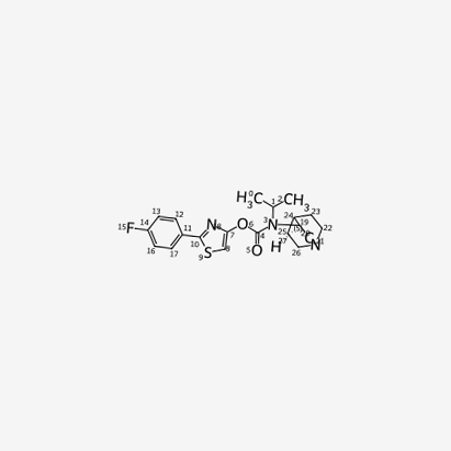 CC(C)N(C(=O)Oc1csc(-c2ccc(F)cc2)n1)[C@@H]1CN2CCC1CC2